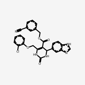 N#Cc1cccc(COC(=O)C2=C(COc3ccccc3Cl)NC(=O)NC2c2ccc3[nH]cnc3c2)c1